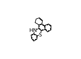 C1=Cc2c(c3c(c4ccccc24)Sc2ccccc2N3)CC1